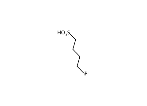 [CH2]C(C)CCCCS(=O)(=O)O